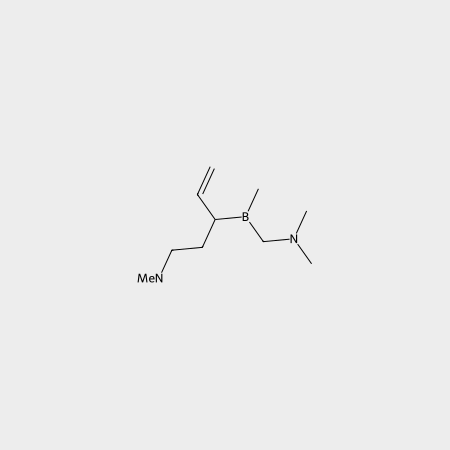 C=CC(CCNC)B(C)CN(C)C